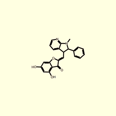 CN1c2ncccc2C(/C=C2\Oc3cc(O)cc(O)c3C2=O)C1c1ccccc1